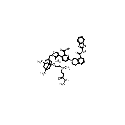 CNC(=O)CCN(C)CCOC12CC3(C)CC(C)(CC(Cn4ncc(-c5ccc(N6CCc7cccc(C(=O)Nc8nc9ccccc9s8)c7C6)nc5C(=O)O)c4C)(C3)C1)C2